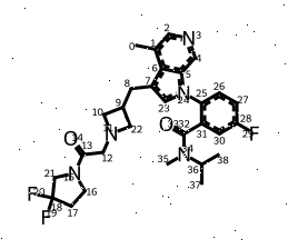 Cc1cncc2c1c(CC1CN(CC(=O)N3CCC(F)(F)C3)C1)cn2-c1ccc(F)cc1C(=O)N(C)C(C)C